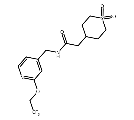 O=C(CC1CCS(=O)(=O)CC1)NCc1ccnc(OCC(F)(F)F)c1